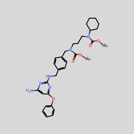 CC(C)(C)OC(=O)N(CCCN(C(=O)OC(C)(C)C)C1CCCCC1)Cc1ccc(CNc2nc(N)cc(Oc3ccccc3)n2)cc1